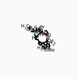 C=CC(=O)N1CC[C@H](C(=O)N(C)[C@H](C(=O)N[C@H]2Cc3cc(cc(F)c3F)-c3ccc4c(c3)c(c(-c3cccnc3[C@H](C)OC)n4CC)CC(C)(C)COC(=O)[C@@H]3CCCN(N3)C2=O)C(C)C)C1